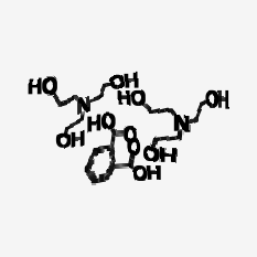 O=C(O)c1ccccc1C(=O)O.OCCN(CCO)CCO.OCCN(CCO)CCO